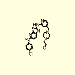 CN(c1ccc(Cl)cc1)c1ccc2nc(Nc3cc(CN4CCN(CC=O)CC4)ccn3)sc2n1